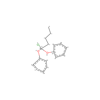 CCCC[Si](Cl)(Oc1ccccc1)Oc1ccccc1